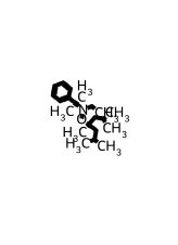 CCN(OC(C)(CC(C)C)CC(C)C)C(C)(C)c1ccccc1